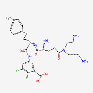 NCCN(CCN)C(=O)CC[C@H](N)C(=O)N[C@H](CCc1ccc(C(F)(F)F)cc1)C(=O)Nc1cc(F)c(F)c(B(O)O)c1